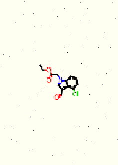 CCOC(=O)Cn1cc(C=O)c2c(Cl)cccc21